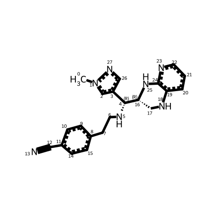 Cn1cc([C@@H](NCCc2ccc(C#N)cc2)[C@H]2CNc3cccnc3N2)cn1